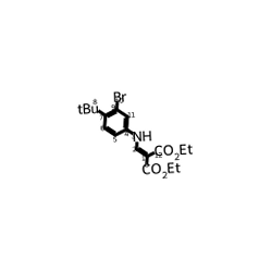 CCOC(=O)C(=CNc1ccc(C(C)(C)C)c(Br)c1)C(=O)OCC